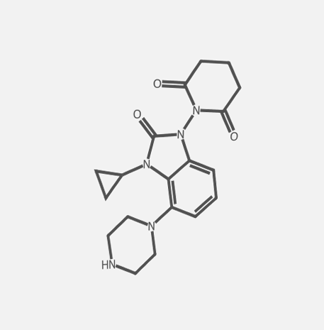 O=C1CCCC(=O)N1n1c(=O)n(C2CC2)c2c(N3CCNCC3)cccc21